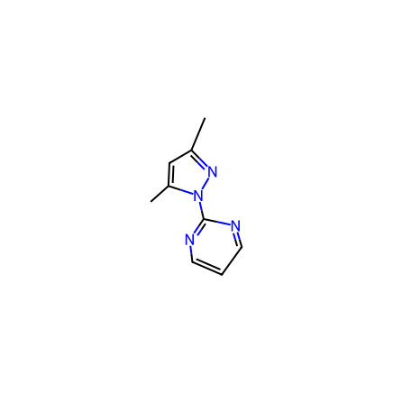 Cc1cc(C)n(-c2ncccn2)n1